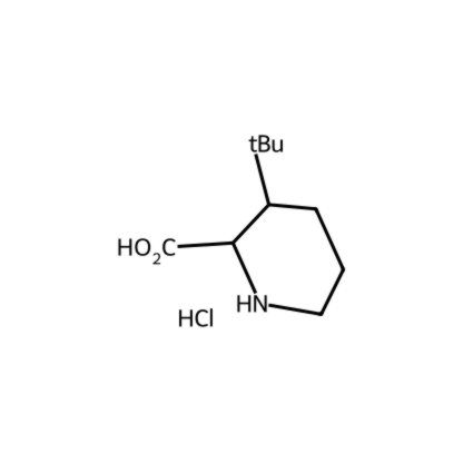 CC(C)(C)C1CCCNC1C(=O)O.Cl